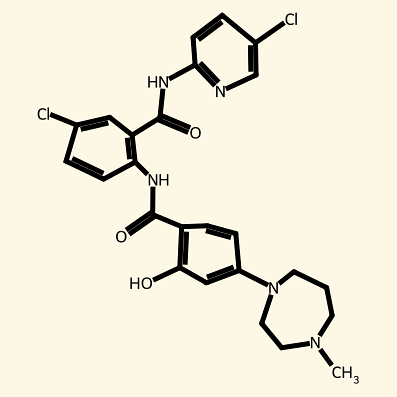 CN1CCCN(c2ccc(C(=O)Nc3ccc(Cl)cc3C(=O)Nc3ccc(Cl)cn3)c(O)c2)CC1